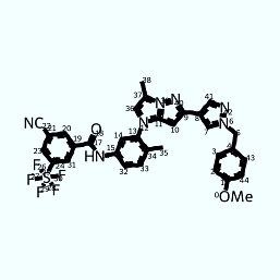 COc1ccc(Cn2cc(-c3cc4n(-c5cc(NC(=O)c6cc(C#N)cc(S(F)(F)(F)(F)F)c6)ccc5C)cc(C)n4n3)cn2)cc1